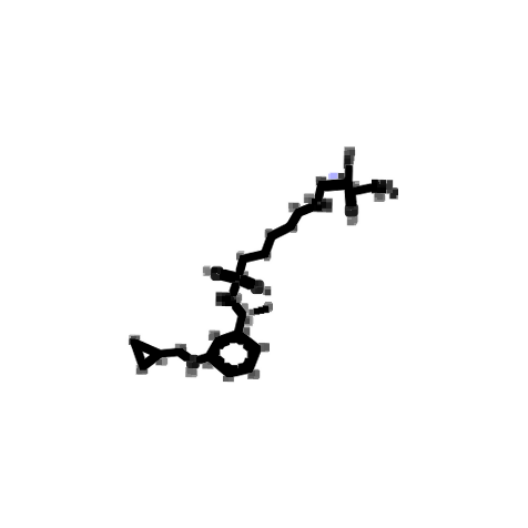 C[C@@H](NS(=O)(=O)CCCCCN/C=C(/F)C(N)=O)c1cccc(OCC2CC2)c1